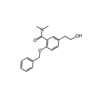 CN(C)C(=O)c1cc(CCO)ccc1OCc1ccccc1